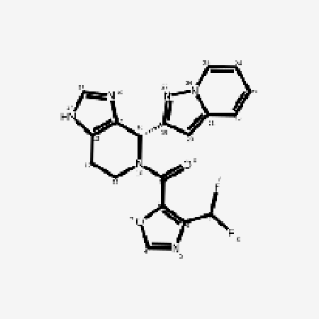 O=C(c1ocnc1C(F)F)N1CCc2[nH]cnc2[C@@H]1c1cc2ccccn2n1